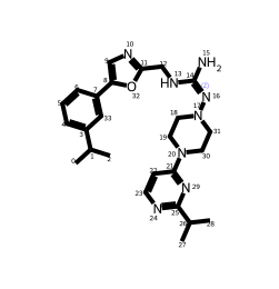 CC(C)c1cccc(-c2cnc(CN/C(N)=N\N3CCN(c4ccnc(C(C)C)n4)CC3)o2)c1